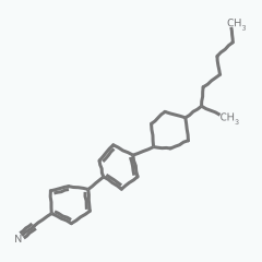 CCCCCC(C)C1CCC(c2ccc(-c3ccc(C#N)cc3)cc2)CC1